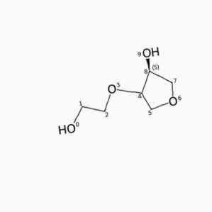 OCCOC1COC[C@@H]1O